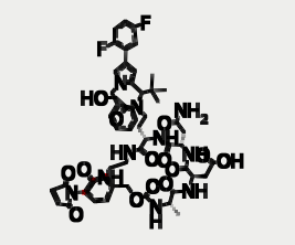 C[C@H](NC(=O)OCc1ccccc1)C(=O)N[C@H](CC(=O)O)C(=O)N[C@@H](CC(N)=O)C(=O)N[C@@H](CCN(C(=O)CO)[C@@H](c1cc(-c2cc(F)ccc2F)cn1Cc1ccccc1)C(C)(C)C)C(=O)NCCNC(=O)CN1C(=O)C=CC1=O